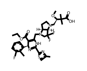 CCOC(=O)C1=C(CN2CC(F)(F)[C@H]3[C@@H]2CCN3C[C@@H](OC)C(C)(C)C(=O)O)NC(c2nc(C)cs2)=N[C@H]1c1cccc(F)c1C